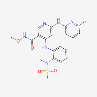 CONC(=O)c1cnc(Nc2cccc(C)n2)cc1Nc1ccccc1N(C)S(C)(=O)=O